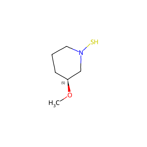 CO[C@H]1CCCN(S)C1